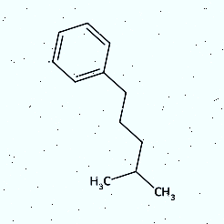 CC(C)CCCc1c[c]ccc1